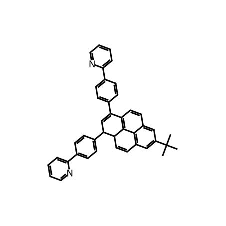 CC(C)(C)c1cc2c3c4c(ccc3c1)C(c1ccc(-c3ccccn3)cc1)=CC(c1ccc(-c3ccccn3)cc1)C4C=C2